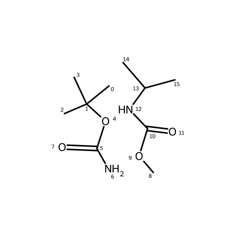 CC(C)(C)OC(N)=O.COC(=O)NC(C)C